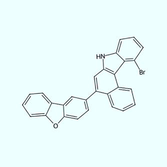 Brc1cccc2[nH]c3cc(-c4ccc5oc6ccccc6c5c4)c4ccccc4c3c12